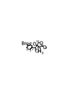 CC(c1csc(Br)c1)C1(C)COC(=O)N1